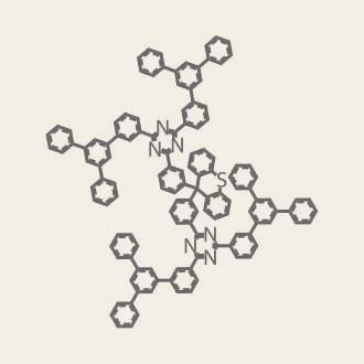 c1ccc(-c2cc(-c3ccccc3)cc(-c3cccc(-c4nc(-c5cccc(-c6cc(-c7ccccc7)cc(-c7ccccc7)c6)c5)nc(-c5cccc(C6(c7cccc(-c8nc(-c9cccc(-c%10cc(-c%11ccccc%11)cc(-c%11ccccc%11)c%10)c9)nc(-c9cccc(-c%10cc(-c%11ccccc%11)cc(-c%11ccccc%11)c%10)c9)n8)c7)c7ccccc7Sc7ccccc76)c5)n4)c3)c2)cc1